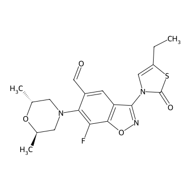 CCc1cn(-c2noc3c(F)c(N4C[C@@H](C)O[C@H](C)C4)c(C=O)cc23)c(=O)s1